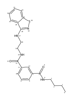 CCCCNC(=O)c1cccc(C(=O)NCCNc2nsc3ccccc23)c1